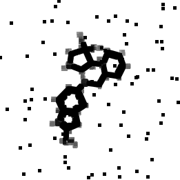 Cc1cc2cc(OCC3C=CC=CN3C3COCC3(F)F)ccc2o1